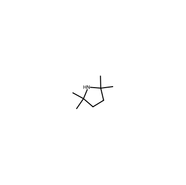 CC1(C)CCC(C)(C)N1